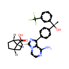 C[C@@](O)(c1ccc(-c2nc([C@H]3C[C@H]4CC[C@@H](C3)[C@H]4C(=O)O)n3ccnc(N)c23)cc1)c1cccc(C(F)(F)F)c1